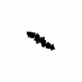 CC1=Cc2c(-c3ccc(C(C)(C)C)cc3)csc2C1[Si](C)(C)C1C(C)=Cc2c(-c3ccc(C(C)(C)C)cc3)csc21